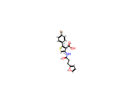 O=C(CCc1ccco1)Nc1csc(-c2ccc(Br)cc2)c1C(=O)O